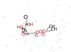 C#CCC(CC#C)COC(=O)OCOC(=O)CCC/C=C\C[C@@H]1[C@@H](CC[C@@H](O)CCc2ccccc2)[C@H](O)C[C@@H]1O